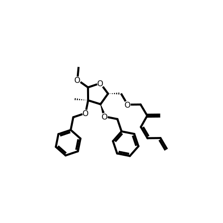 C=C/C=C\C(=C)COC[C@H]1OC(OC)[C@](C)(OCc2ccccc2)[C@@H]1OCc1ccccc1